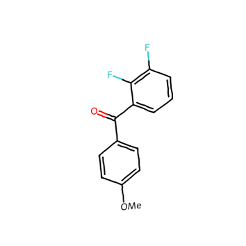 COc1ccc(C(=O)c2cccc(F)c2F)cc1